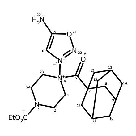 CCOC(=O)N1CC[N+](C(=O)C23CC4CC(CC(C4)C2)C3)([n+]2cc(N)on2)CC1